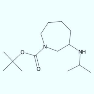 CC(C)NC1CCCCN(C(=O)OC(C)(C)C)C1